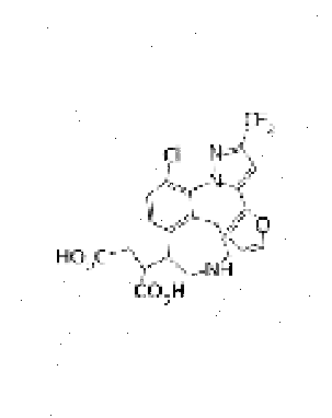 O=C(O)CC(C(=O)O)C1CNCCc2c1ccc(Cl)c2-n1nc(C(F)(F)F)cc1-c1ccco1